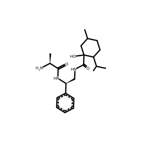 CC1CCC(C(C)C)C(O)(C(=O)NC[C@H](NC(=O)[C@H](C)N)c2ccccc2)C1